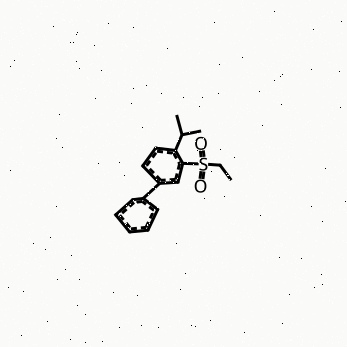 CCS(=O)(=O)c1cc(-c2ccccc2)ccc1C(C)C